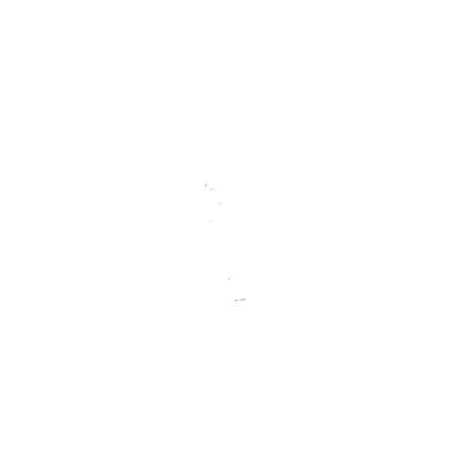 CCCCC(O)CCC[C@H]1[C@H](SCCO)CC(=O)[C@@H]1CCCCC=CC(=O)OC